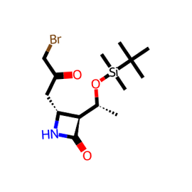 C[C@@H](O[Si](C)(C)C(C)(C)C)[C@H]1C(=O)N[C@@H]1CC(=O)CBr